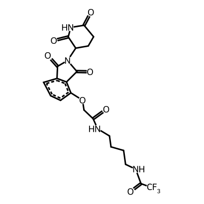 O=C(COc1cccc2c1C(=O)N(C1CCC(=O)NC1=O)C2=O)NCCCCNC(=O)C(F)(F)F